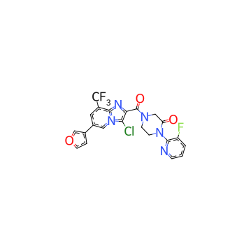 O=C(c1nc2c(C(F)(F)F)cc(-c3ccoc3)cn2c1Cl)N1CCN(c2ncccc2F)C(=O)C1